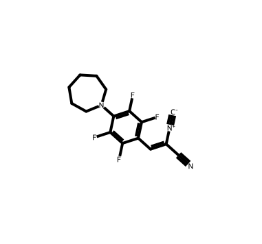 [C-]#[N+]/C(C#N)=C\c1c(F)c(F)c(N2CCCCCC2)c(F)c1F